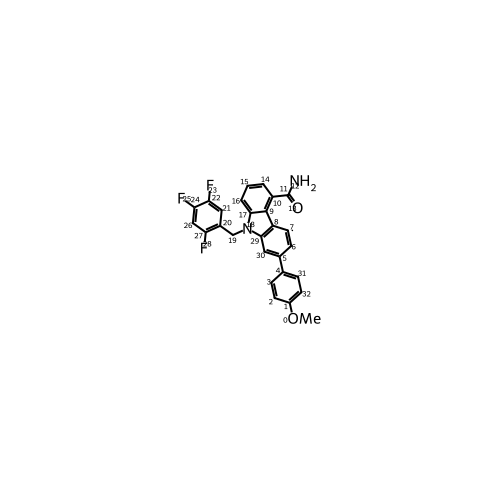 COc1ccc(-c2c[c]c3c4c(C(N)=O)cccc4n(Cc4cc(F)c(F)cc4F)c3c2)cc1